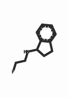 FCCNC1CCc2ccccc21